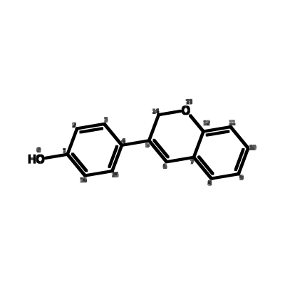 Oc1ccc(C2=Cc3ccccc3OC2)cc1